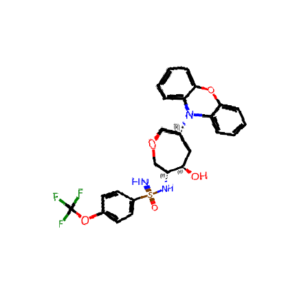 N=S(=O)(N[C@@H]1COC[C@H](N2c3ccccc3Oc3ccccc32)C[C@H]1O)c1ccc(OC(F)(F)F)cc1